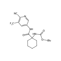 CC(C)(C)OC(=O)NC1(C(=O)Nc2cnc(C#N)c(C(F)(F)F)c2)CCCCC1